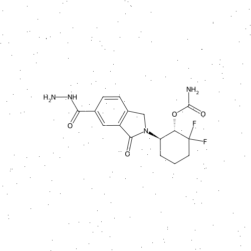 NNC(=O)c1ccc2c(c1)C(=O)N([C@@H]1CCCC(F)(F)[C@H]1OC(N)=O)C2